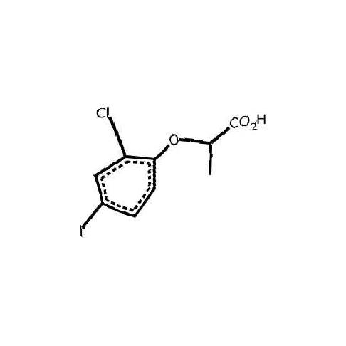 CC(Oc1ccc(I)cc1Cl)C(=O)O